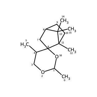 CC1OCC(C)C2(CC3CCC2(C)C3(C)C)O1